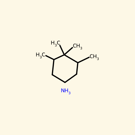 CC1CCCC(C)C1(C)C.N